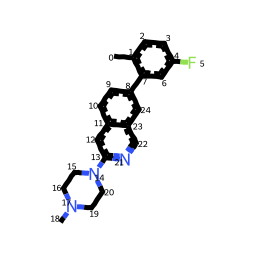 Cc1ccc(F)cc1-c1ccc2cc(N3CCN(C)CC3)ncc2c1